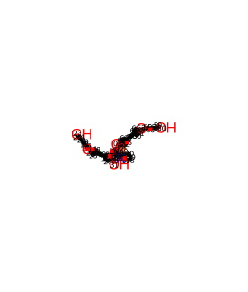 O=C(Oc1ccc(-c2cc(C#Cc3ccc(OCCCCCCO)cc3)ccc2C(=O)O)cc1-c1nc2ccccc2s1)c1ccc(C#Cc2ccc(OCCCCCCO)cc2)cc1